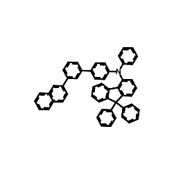 c1ccc(N(c2ccc(-c3cccc(-c4ccc5ccccc5c4)c3)cc2)c2cccc3c2-c2ccccc2C3(c2ccccc2)c2ccccc2)cc1